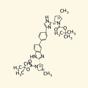 C[C@H]1C[C@@H](c2nc(-c3ccc(-c4ccc5[nH]c([C@@H]6C[C@H](C)CN6C(=O)OC(C)(C)C)nc5c4)cc3)c[nH]2)N(C(=O)OC(C)(C)C)C1